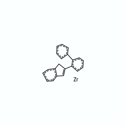 C1=C(c2ccccc2-c2ccccc2)Cc2ccccc21.[Zr]